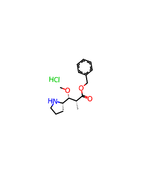 CO[C@@H]([C@@H]1CCCN1)[C@@H](C)C(=O)OCc1ccccc1.Cl